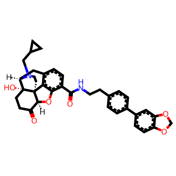 O=C(NCCc1ccc(-c2ccc3c(c2)OCO3)cc1)c1ccc2c3c1O[C@H]1C(=O)CC[C@@]4(O)[C@@H](C2)N(CC2CC2)CC[C@]314